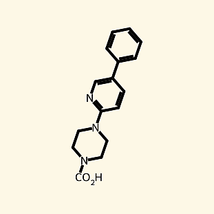 O=C(O)N1CCN(c2ccc(-c3ccccc3)cn2)CC1